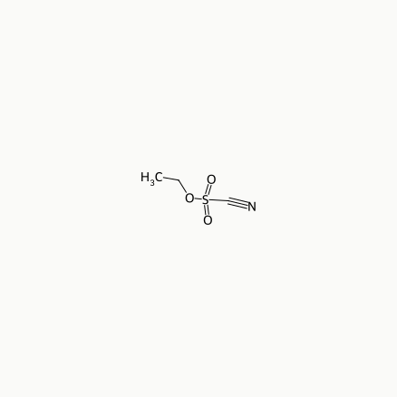 CCOS(=O)(=O)C#N